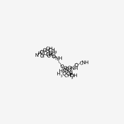 CC(C)(C)C(NC(=O)COCCCCCNc1ccc(C(=O)N[C@H]2C(C)(C)[C@H](Oc3ccc(C#N)c(Cl)c3)C2(C)C)cc1)C(=O)N1C[C@H](O)C[C@H]1C(=O)NCc1ccc(C2=CCNCC2)cc1